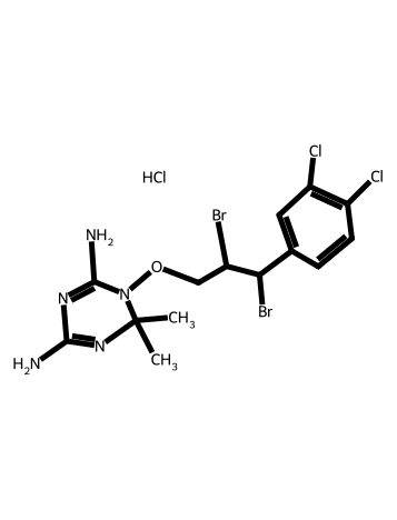 CC1(C)N=C(N)N=C(N)N1OCC(Br)C(Br)c1ccc(Cl)c(Cl)c1.Cl